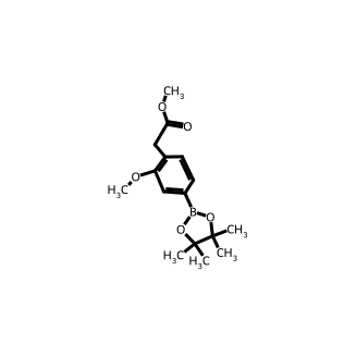 COC(=O)Cc1ccc(B2OC(C)(C)C(C)(C)O2)cc1OC